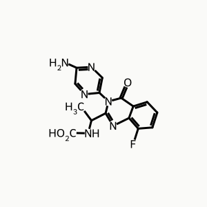 CC(NC(=O)O)c1nc2c(F)cccc2c(=O)n1-c1cnc(N)cn1